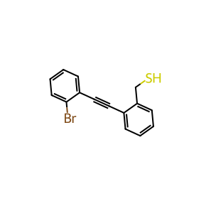 SCc1ccccc1C#Cc1ccccc1Br